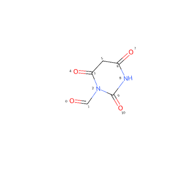 O=CN1C(=O)CC(=O)NC1=O